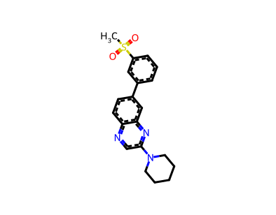 CS(=O)(=O)c1cccc(-c2ccc3ncc(N4CCCCC4)nc3c2)c1